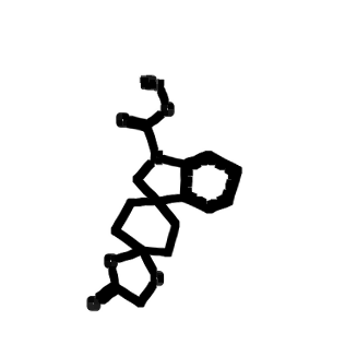 CC(C)(C)OC(=O)N1CC2(CCC3(CC2)OCC(=O)O3)c2ccccc21